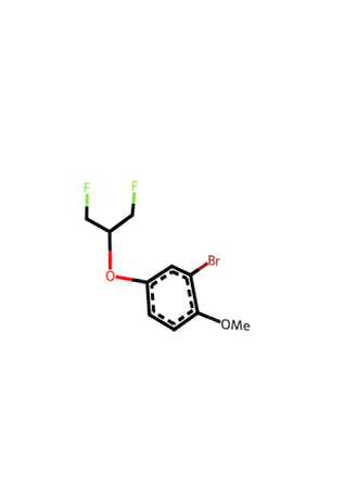 COc1ccc(OC(CF)CF)cc1Br